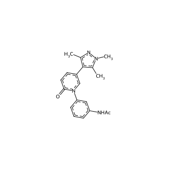 CC(=O)Nc1cccc(-n2cc(-c3c(C)nn(C)c3C)ccc2=O)c1